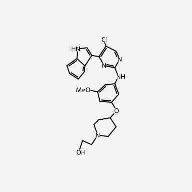 COc1cc(Nc2ncc(Cl)c(-c3c[nH]c4ccccc34)n2)cc(OC2CCN(CCO)CC2)c1